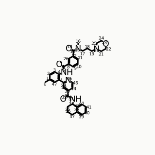 Cc1ccc(NC(=O)c2cccc(C(=O)N(C)CCCN3CCOCC3)c2)c(-c2cc(C(=O)N[C@H]3CCCc4ccccc43)ccn2)c1